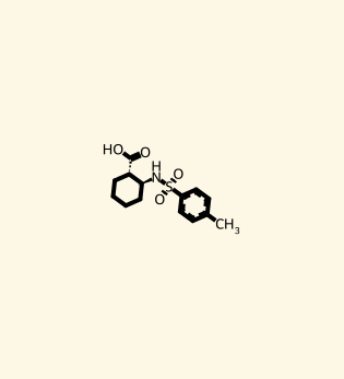 Cc1ccc(S(=O)(=O)N[C@H]2CCCC[C@@H]2C(=O)O)cc1